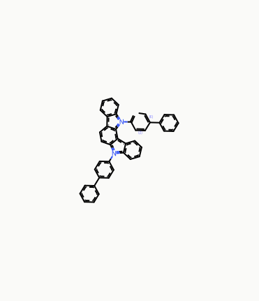 C=C(/C=C\C(=C/C)c1ccccc1)n1c2ccccc2c2ccc3c(c4ccccc4n3-c3ccc(-c4ccccc4)cc3)c21